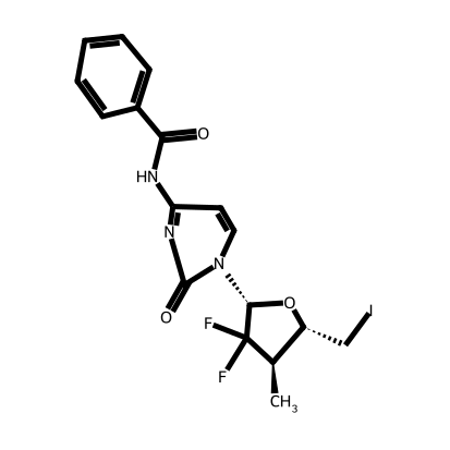 C[C@@H]1[C@@H](CI)O[C@@H](n2ccc(NC(=O)c3ccccc3)nc2=O)C1(F)F